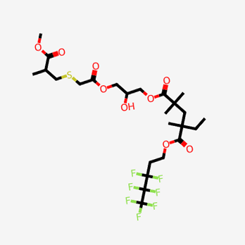 CCC(C)(CC(C)(C)C(=O)OCC(O)COC(=O)CSCC(C)C(=O)OC)C(=O)OCCC(F)(F)C(F)(F)C(F)(F)F